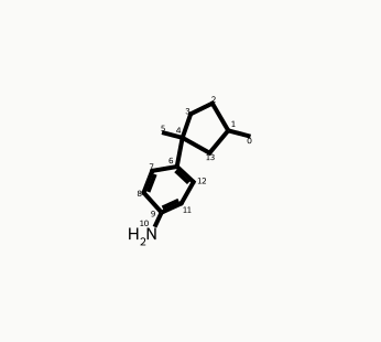 CC1CCC(C)(c2ccc(N)cc2)C1